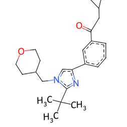 CC(C)(C)c1nc(-c2cccc(C(=O)CC3CC3)c2)cn1CC1CCOCC1